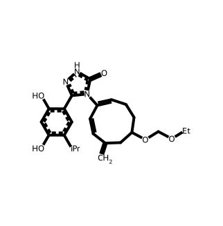 C=C1/C=C\C(n2c(-c3cc(C(C)C)c(O)cc3O)n[nH]c2=O)=C/CCC(OCOCC)C1